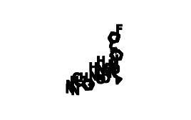 Cn1nnnc1-c1cccc(NC(=O)N[C@@H](CC(=O)N2CCC[C@@H](Cc3ccc(F)cc3)C2)C(=O)NC2CC2)c1